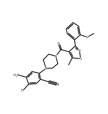 COc1ccccc1-c1noc(C)c1C(=O)N1CCN(c2cc(N)c(Cl)cc2C#N)CC1